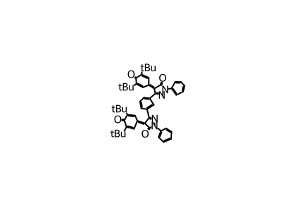 CC(C)(C)C1=CC(=C2C(=O)N(c3ccccc3)N=C2c2cccc(C3=NN(c4ccccc4)C(=O)C3=C3C=C(C(C)(C)C)C(=O)C(C(C)(C)C)=C3)c2)C=C(C(C)(C)C)C1=O